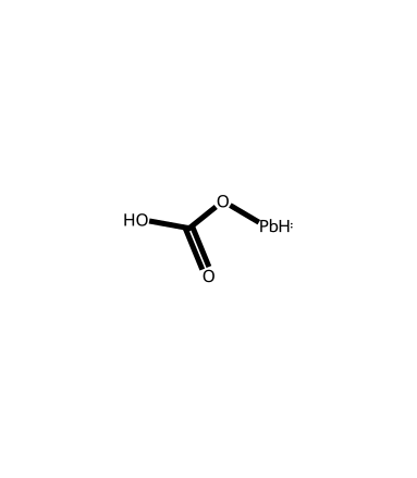 O=C(O)[O][PbH]